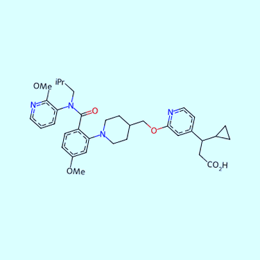 COc1ccc(C(=O)N(CC(C)C)c2cccnc2OC)c(N2CCC(COc3cc(C(CC(=O)O)C4CC4)ccn3)CC2)c1